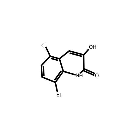 CCc1ccc(Cl)c2cc(O)c(=O)[nH]c12